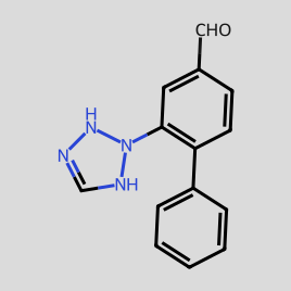 O=Cc1ccc(-c2ccccc2)c(N2NC=NN2)c1